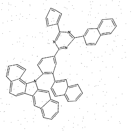 c1ccc(-c2nc(-c3ccc(-n4c5cc6ccccc6cc5c5ccc6ccccc6c54)c(-c4ccc5ccccc5c4)c3)nc(-c3ccc4ccccc4c3)n2)cc1